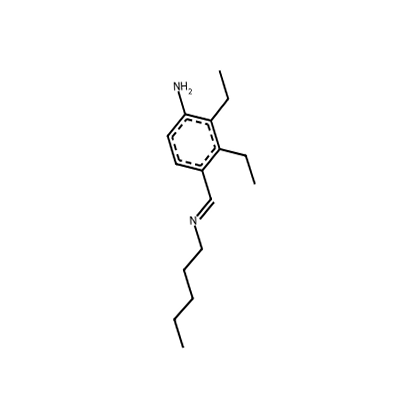 CCCCC/N=C/c1ccc(N)c(CC)c1CC